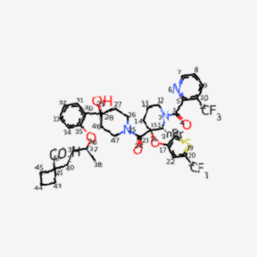 CCC[C@H]1N(C(=O)c2ncccc2C(F)(F)F)CCC[C@@]1(Oc1csc(C(F)(F)F)c1)C(=O)N1CCC(O)(c2ccccc2O[C@@H](C)CCC2(C(=O)O)CCC2)CC1